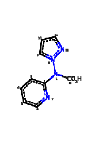 O=C(O)N(c1ccccn1)n1cccn1